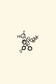 COc1ccc(C(O[C@H]2[C@H](F)[C@H](N3C=C(F)CNC3)O[C@]2(CBr)CO[Si](C)(C)C(C)(C)C)(c2ccccc2)c2ccccc2)cc1